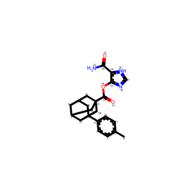 Cc1ccc(C23CC4CC(CC(C(=O)Oc5nc[nH]c5C(N)=O)(C4)C2)C3)cc1